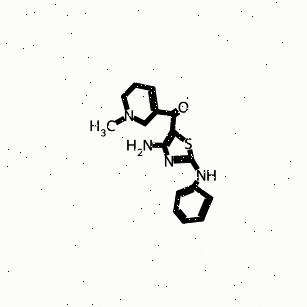 CN1CCC=C(C(=O)c2sc(Nc3ccccc3)nc2N)C1